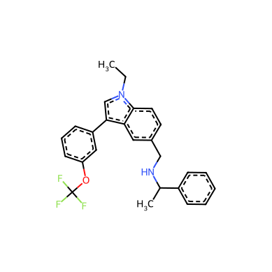 CCn1cc(-c2cccc(OC(F)(F)F)c2)c2cc(CNC(C)c3ccccc3)ccc21